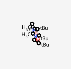 Cc1cc2c3c(c1)-n1c4c(c5cc(C(C)(C)C)cc(c51)B3c1ccc(C(C)(C)C)cc1N2c1cccc2c1oc1cc(C(C)(C)C)ccc12)-c1ccccc1C4(C)C